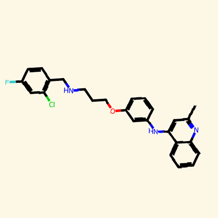 Cc1cc(Nc2cccc(OCCCNCc3ccc(F)cc3Cl)c2)c2ccccc2n1